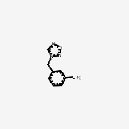 O=Cc1cccc(Cn2cnnn2)c1